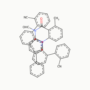 Cc1cccc(-n2c3c(-c4ccccc4C#N)cccc3c3cccc(-c4ccccc4C#N)c32)c1C(=O)N(C=O)c1ccc(-c2ccccc2)cc1